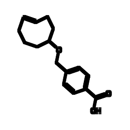 O=C(O)c1ccc(COC2CC/C=C/CCC2)cc1